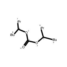 CCC(C)C(OC(=O)OC(C(C)C)C(C)CC)C(C)C